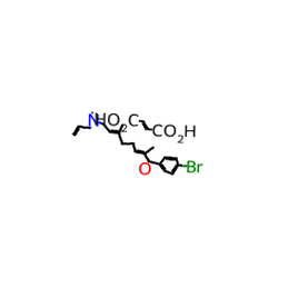 C=CCN(C)C/C=C(\C)CC/C=C(\C)C(=O)c1ccc(Br)cc1.O=C(O)/C=C/C(=O)O